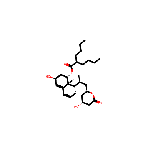 CCCCC(CCCC)C(=O)O[C@H]1C[C@H](O)C=C2C=CC[C@@H]([C@@H](C)C[C@@H]3C[C@@H](O)CC(=O)O3)[C@H]21